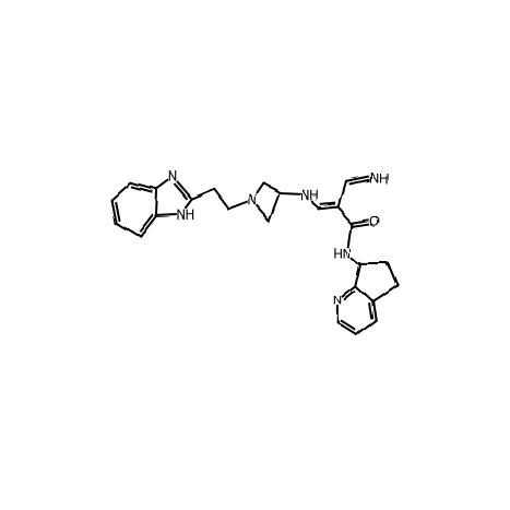 N=C/C(=C\NC1CN(CCc2nc3ccccc3[nH]2)C1)C(=O)NC1CCc2cccnc21